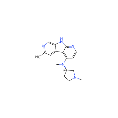 CN1CC[C@@H](N(C)c2ccnc3[nH]c4cnc(C#N)cc4c23)C1